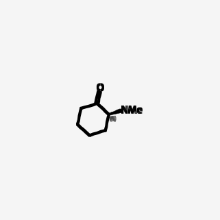 CN[C@H]1CCCCC1=O